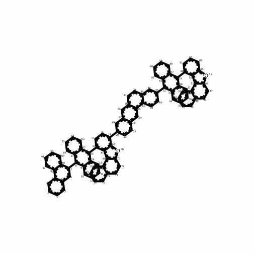 c1ccc2c(c1)cc(-c1c3ccccc3c(-c3ccc(-c4ccc5cc6c(ccc7cc(-c8c9ccccc9c(-c9cccc%10oc%11ccc%12ccccc%12c%11c9%10)c9ccccc89)ccc76)cc5c4)c4oc5ccc6ccccc6c5c34)c3ccccc13)c1ccccc12